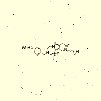 COc1ccc(CN2CCn3nc4c(c3C(F)(F)C2)CN(C(=O)O)[C@H](C)C4)cc1